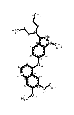 CCCN(CCC)c1nn(C)c2cc(Oc3ccnc4cc(OC)c(OC)cc34)ccc12